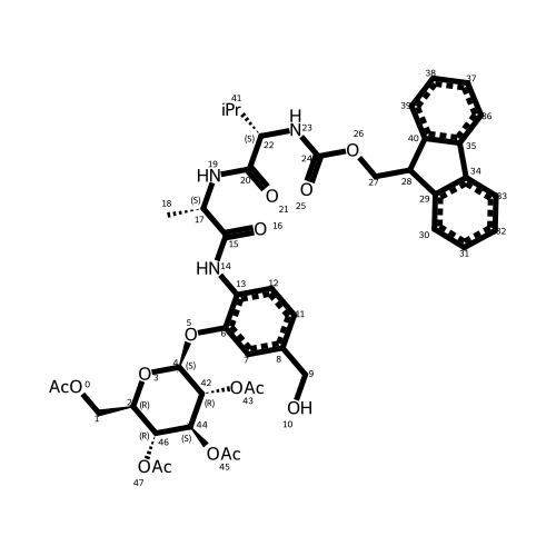 CC(=O)OC[C@H]1O[C@@H](Oc2cc(CO)ccc2NC(=O)[C@H](C)NC(=O)[C@@H](NC(=O)OCC2c3ccccc3-c3ccccc32)C(C)C)[C@H](OC(C)=O)[C@@H](OC(C)=O)[C@@H]1OC(C)=O